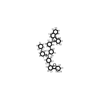 c1ccc(-c2cccc(N(c3ccc(-c4cccc5c4oc4cccnc45)cc3)c3cccc(-c4cccc(-n5c6ccccc6c6c7ccccc7ccc65)c4)c3)c2)cc1